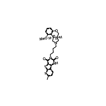 COc1cccc2c1[C@@H]1CN(CCCCn3c(=O)[nH]c4c(sc5nc(C)ccc54)c3=O)C[C@H]1CO2